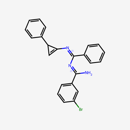 N/C(=N\C(=N/C1=CC1c1ccccc1)c1ccccc1)c1cccc(Br)c1